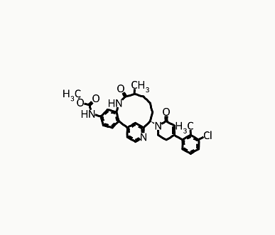 COC(=O)Nc1ccc2c(c1)NC(=O)C(C)CCC[C@H](N1CCC(c3cccc(Cl)c3C)=CC1=O)c1cc-2ccn1